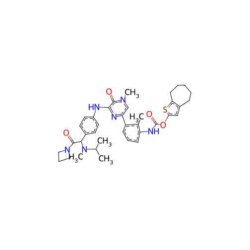 Cc1c(NC(=O)Oc2cc3c(s2)CCCCC3)cccc1-c1cn(C)c(=O)c(Nc2ccc(C(C(=O)N3CCC3)N(C)C(C)C)cc2)n1